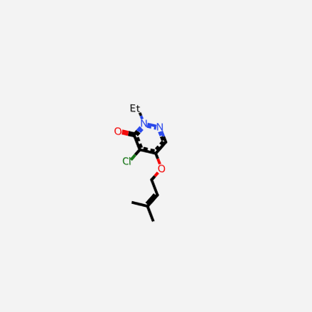 CCn1ncc(OCC=C(C)C)c(Cl)c1=O